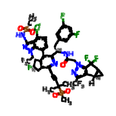 CC(C)(C#Cc1nc([C@H](Cc2cc(F)cc(F)c2)NC(=O)Cn2nc(C(F)(F)F)c3c2C(F)(F)C2C[C@H]32)c(-c2ccc(Cl)c3c(NS(C)(=O)=O)nn(CC(F)(F)F)c23)c2c1C[C@H](F)C2)S(C)(=O)=O